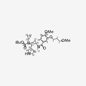 COCCCOc1cc(C(=O)N(C[C@@H]2CNC[C@H]2CN(C(=O)OCC(C)C)C2CC2)C2CC2)ccc1OC